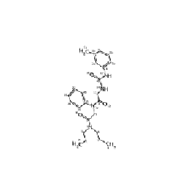 CCCN(CCC)C(=O)CN(C(=O)CNC(=O)Nc1cccc(C)c1)c1ccccc1